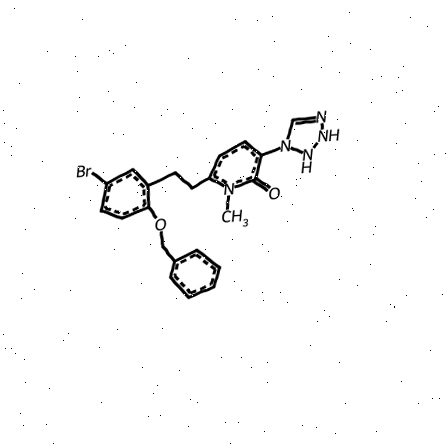 Cn1c(CCc2cc(Br)ccc2OCc2ccccc2)ccc(N2C=NNN2)c1=O